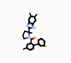 Cc1ccc(-c2cccc(F)c2)c(C(=O)N2CCCC2(C)c2nc3cc(C)c(C)cc3[nH]2)c1